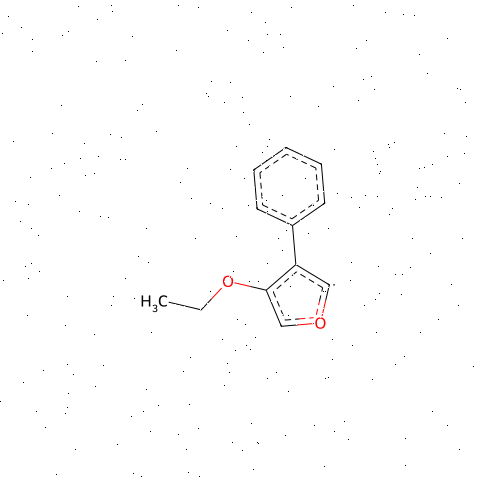 CCOc1co[c]c1-c1ccccc1